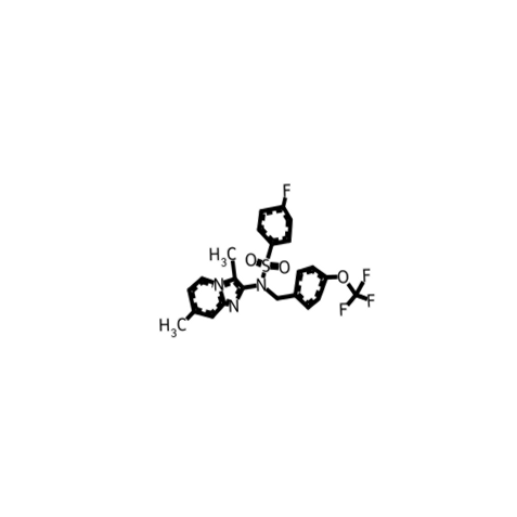 Cc1ccn2c(C)c(N(Cc3ccc(OC(F)(F)F)cc3)S(=O)(=O)c3ccc(F)cc3)nc2c1